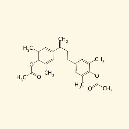 C=C(CCc1cc(C)c(OC(C)=O)c(C)c1)c1cc(C)c(OC(C)=O)c(C)c1